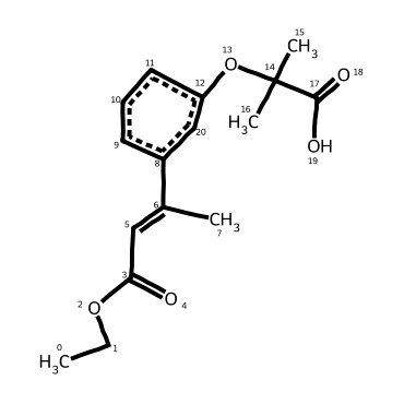 CCOC(=O)/C=C(\C)c1cccc(OC(C)(C)C(=O)O)c1